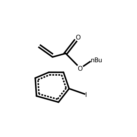 C=CC(=O)OCCCC.Ic1ccccc1